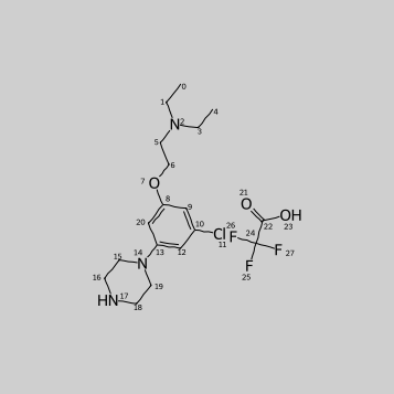 CCN(CC)CCOc1cc(Cl)cc(N2CCNCC2)c1.O=C(O)C(F)(F)F